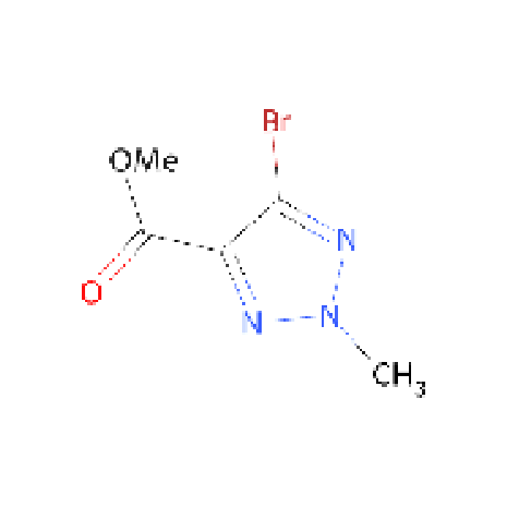 COC(=O)c1nn(C)nc1Br